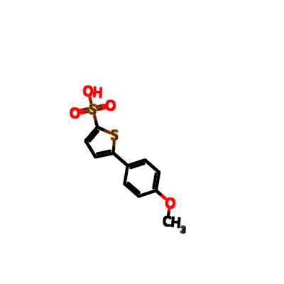 COc1ccc(-c2ccc(S(=O)(=O)O)s2)cc1